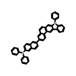 c1ccc(N(c2ccccc2)c2ccc3cc(-c4ccc5c(ccc6cc7c(cc65)c5ccccc5n7-c5ccccc5)c4)ccc3c2)cc1